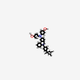 CCCC(C)(CCC)c1ccc(/C(=C/c2ccc(N(c3ccc(OC)cc3)c3ccc(OC)cc3)cc2)c2ccccc2)cc1